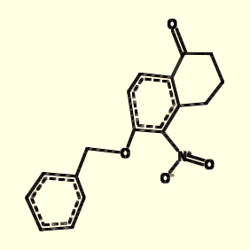 O=C1CCCc2c1ccc(OCc1ccccc1)c2[N+](=O)[O-]